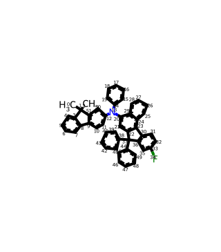 CC1(C)c2ccccc2-c2ccc(N(c3ccccc3)c3cc4c(c5ccccc35)-c3ccc(F)cc3C4(c3ccccc3)c3ccccc3)cc21